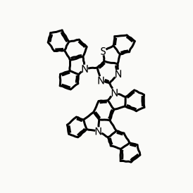 c1ccc2cc3c(cc2c1)c1c2c4ccccc4n(-c4nc(-n5c6ccccc6c6c7ccccc7ccc65)c5sc6ccccc6c5n4)c2cc2c4ccccc4n3c21